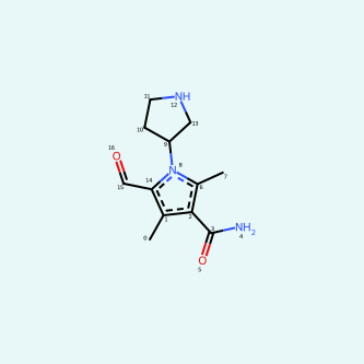 Cc1c(C(N)=O)c(C)n(C2CCNC2)c1C=O